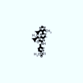 CC[SH](C)(=O)c1ccc(CNc2nc3cnc(-c4c(C)ncnc4C4CC4)nc3n([C@@H](C)C3CC3)c2=O)cn1